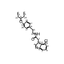 O=C(Cn1cnc2cccc(Cl)c21)NCCc1ccc(OC(CF)CF)cc1